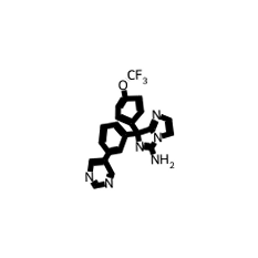 NC1=NC(c2ccc(OC(F)(F)F)cc2)(c2cccc(-c3cncnc3)c2)c2nccn21